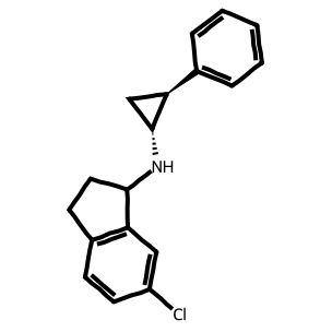 Clc1ccc2c(c1)C(N[C@@H]1C[C@H]1c1ccccc1)CC2